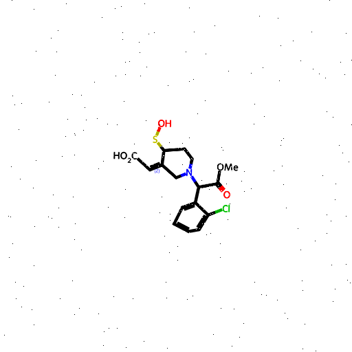 COC(=O)C(c1ccccc1Cl)N1CCC(SO)/C(=C\C(=O)O)C1